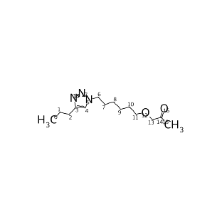 CCCc1cn(CCCCCCOCC(C)=O)nn1